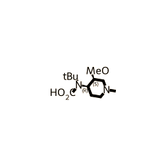 CO[C@H]1CN(C)CC[C@H]1N(C(=O)O)C(C)(C)C